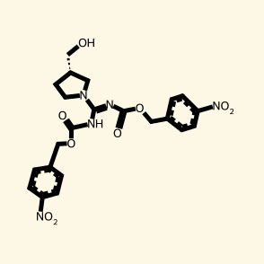 O=C(/N=C(\NC(=O)OCc1ccc([N+](=O)[O-])cc1)N1CC[C@H](CO)C1)OCc1ccc([N+](=O)[O-])cc1